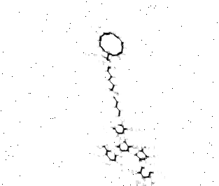 CCCCCCCO[C@@H]1C(C)O[C@@H](OC2C(O)[C@H](O)C(C(=O)O)O[C@H]2OC2C(NC(C)=O)[C@H](OC3C(NC(C)=O)[C@H](OCCCCCNC(=O)CCCCC(=O)NC(CC)(CCCCC)c4ccccccccc(C)cccc4)OC(C)[C@H]3O)OC(C)[C@H]2O[C@@H]2OC(CO)[C@@H](O)C(O)C2O)C(NC(C)=O)C1O